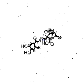 C[C@]1(/C=N/NC(=O)c2cc(O)c(O)cc2Br)[C@H](C(=O)O)N2C(=O)C[C@H]2S1(=O)=O